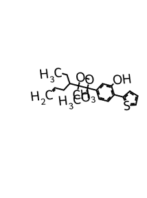 C=CCC(CC)C1(C)OOC1(OC)c1ccc(-c2cccs2)c(O)c1